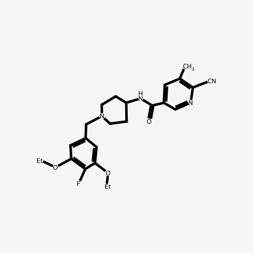 CCOc1cc(CN2CCC(NC(=O)c3cnc(C#N)c(C)c3)CC2)cc(OCC)c1F